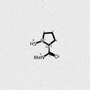 CNC(=O)[C@@H]1CCCN1S